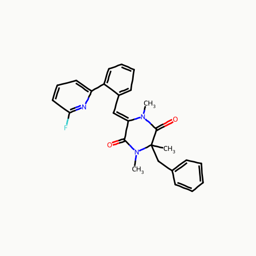 CN1C(=O)C(C)(Cc2ccccc2)N(C)C(=O)C1=Cc1ccccc1-c1cccc(F)n1